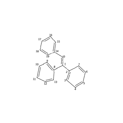 [C](=C(c1ccccc1)c1ccccc1)c1ccccc1